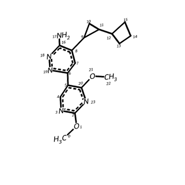 COc1ncc(-c2cc(C3CC3C3CCC3)c(N)nn2)c(OC)n1